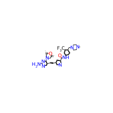 C[C@@H]1CN(c2nc(N)ncc2C#Cc2cncc(C(=O)Nc3ccc(CN4CCN(C)CC4)c(C(F)(F)F)c3)c2)C[C@H](C)O1